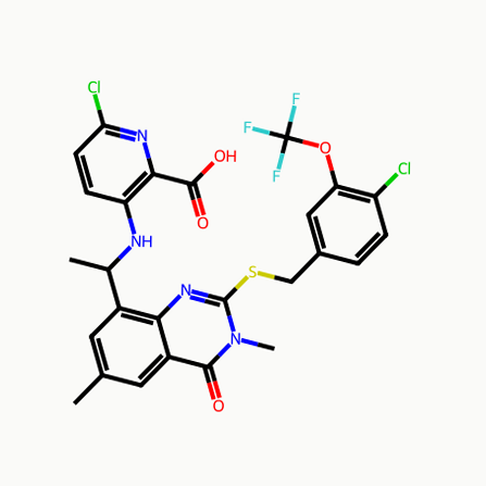 Cc1cc(C(C)Nc2ccc(Cl)nc2C(=O)O)c2nc(SCc3ccc(Cl)c(OC(F)(F)F)c3)n(C)c(=O)c2c1